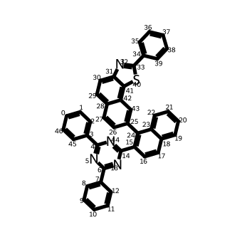 c1ccc(-c2nc(-c3ccccc3)nc(-c3ccc4ccccc4c3-c3ccc4ccc5nc(-c6ccccc6)sc5c4c3)n2)cc1